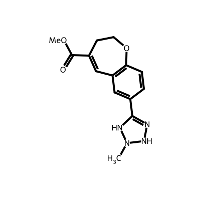 COC(=O)C1=Cc2cc(C3=NNN(C)N3)ccc2OCC1